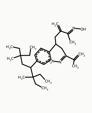 C=C(CC(C/C(=N\N)C(=C)C)c1ccc(C(CC(C)(CC)CC)C(C)(CC)CC)cc1)/C(C)=N/O